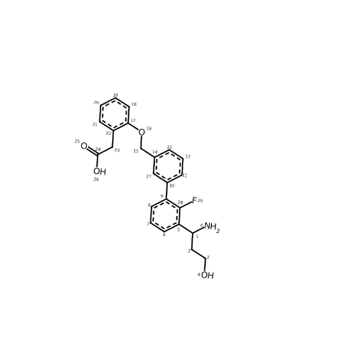 NC(CCO)c1cccc(-c2cccc(COc3ccccc3CC(=O)O)c2)c1F